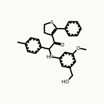 COc1cc(CO)cc(NC(C(=O)C2=C(c3ccccc3)SCC2)c2ccc(C)cc2)c1